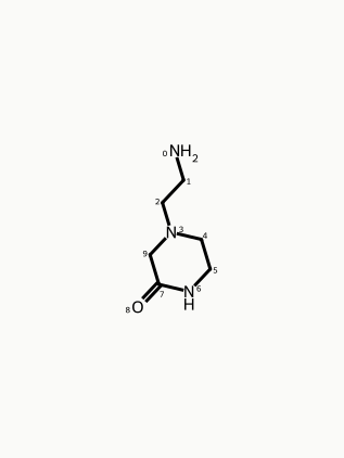 NCCN1CCNC(=O)C1